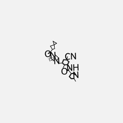 Cc1ccc(C(=O)Nc2cc(C#N)cc(CN3CCN(C(=O)C4CC5(CC5)C4)[C@@H](C)C3)c2C)cn1